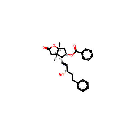 O=C1C[C@H]2[C@H](/C=C/[C@@H](O)CCc3ccccc3)[C@H](OC(=O)c3ccccc3)C[C@H]2O1